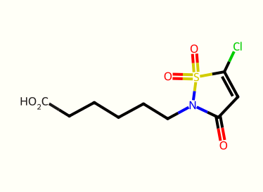 O=C(O)CCCCCN1C(=O)C=C(Cl)S1(=O)=O